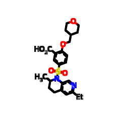 CCc1cc2c(cn1)N(S(=O)(=O)c1ccc(OCC3CCOCC3)c(C(=O)O)c1)C(C)CC2